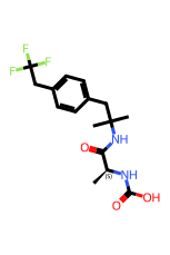 C[C@H](NC(=O)O)C(=O)NC(C)(C)Cc1ccc(CC(F)(F)F)cc1